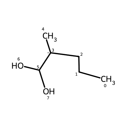 CCC[C](C)C(O)O